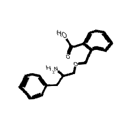 NC(COCc1ccccc1C(=O)O)Cc1ccccc1